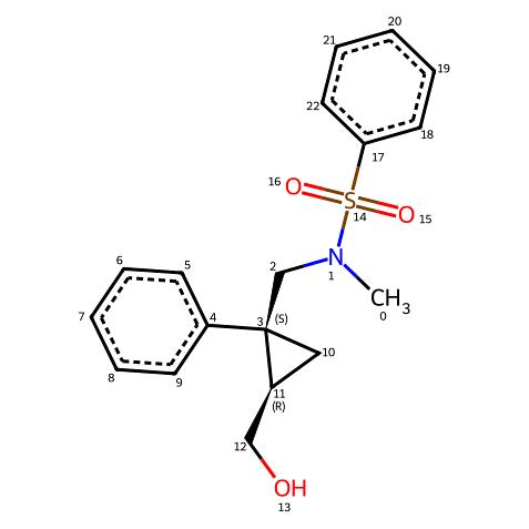 CN(C[C@@]1(c2ccccc2)C[C@H]1CO)S(=O)(=O)c1ccccc1